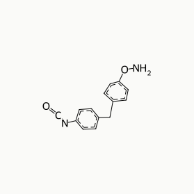 NOc1ccc(Cc2ccc(N=C=O)cc2)cc1